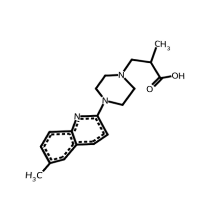 Cc1ccc2nc(N3CCN(CC(C)C(=O)O)CC3)ccc2c1